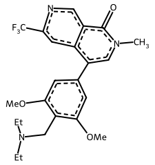 CCN(CC)Cc1c(OC)cc(-c2cn(C)c(=O)c3cnc(C(F)(F)F)cc23)cc1OC